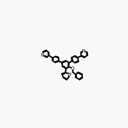 c1ccc(COc2c(-c3ccc(-c4cccnc4)cc3)cc(-c3ccc(-c4cccnc4)cc3)cc2-c2ccccn2)cc1